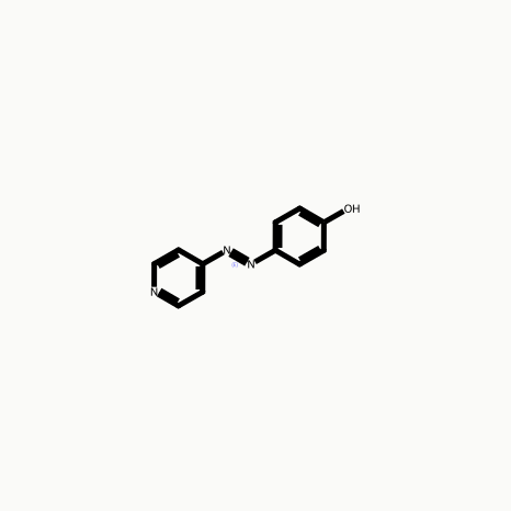 Oc1ccc(/N=N/c2ccncc2)cc1